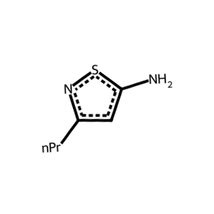 CCCc1cc(N)sn1